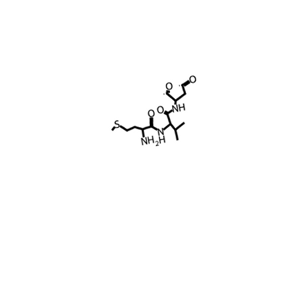 CSCCC(N)C(=O)NC(C(=O)NC([C]=O)C[C]=O)C(C)C